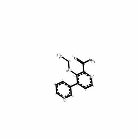 NC(=O)c1nccc(-c2cccnc2)c1OCC(F)(F)F